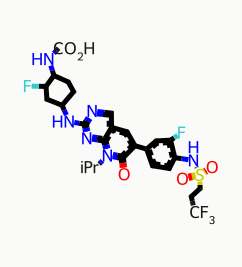 CC(C)n1c(=O)c(-c2ccc(NS(=O)(=O)CCC(F)(F)F)c(F)c2)cc2cnc(NC3CCC(NC(=O)O)C(F)C3)nc21